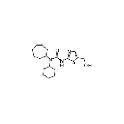 O=C(Nc1ncc(CO)s1)N(C1CCCCCC1)C1CCCCC1